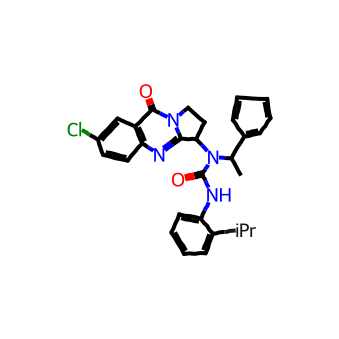 CC(C)c1ccccc1NC(=O)N(C(C)c1ccccc1)C1CCn2c1nc1ccc(Cl)cc1c2=O